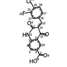 O=C1Nc2ccc(C(=O)O)cc2C(=O)/C1=C/c1ccc(Cl)c(F)c1